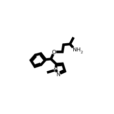 CC(N)CCOC(c1ccccc1)c1ccnn1C